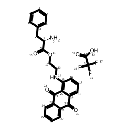 N[C@@H](Cc1ccccc1)C(=O)OCCNc1cccc2c1C(=O)c1ccccc1C2=O.O=C(O)C(F)(F)F